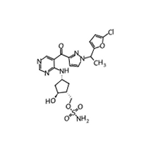 CC(c1ccc(Cl)o1)n1ccc(C(=O)c2cncnc2N[C@@H]2C[C@H](COS(N)(=O)=O)[C@@H](O)C2)n1